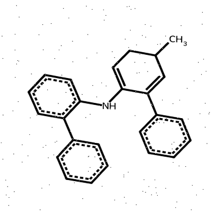 CC1C=C(c2ccccc2)C(Nc2ccccc2-c2ccccc2)=CC1